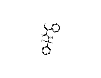 C/C=C(/C(=O)NC(C)(CC)c1ccccc1)c1ccccc1